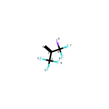 C=C(C(F)(F)F)C(F)(F)I